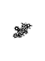 CC[C@H](C)[C@@H]([C@@H](CC(=O)N1CCC[C@H]1[C@H](OC)[C@@H](C)C(=O)N[C@@H](Cc1c[nH]c2ccccc12)C(=O)N1CCCCO1)OC)N(C)C(=O)[C@@H](C)C(C)C